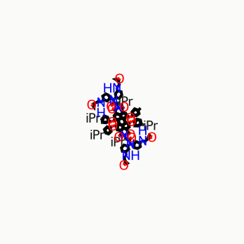 Cc1ccc(Oc2cc3c4c(cc(Oc5ccc(C(C)C)cc5)c5c6c(Oc7ccc(C(C)C)cc7)cc7c8c(cc(Oc9ccc(C(C)C)cc9)c(c2c45)c86)C(=O)N(C(C(=O)N(C2CCCC(NCC4CO4)C2)C2CCCC(NCC4CO4)C2)C(C)C)C7=O)C(=O)N(C(C(=O)N(C2CCCC(NCC4CO4)C2)C2CCCC(NCC4CO4)C2)C(C)C)C3=O)cc1